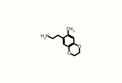 Cc1cc2c(cc1CCN)OCCO2